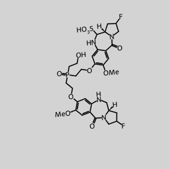 COc1cc2c(cc1OCCP(=O)(CCO)CCOc1cc3c(cc1OC)C(=O)N1CC(F)C[C@H]1C(S(=O)(=O)O)N3)NC[C@@H]1CC(F)CN1C2=O